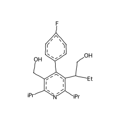 CCC(CO)c1c(C(C)C)nc(C(C)C)c(CO)c1-c1ccc(F)cc1